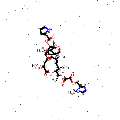 CO[C@H]1C[C@@H](/C=C\C2C3CO[C@H]2[C@H](OC(=O)c2ccc[nH]2)[C@H](C)[C@H]3O)C/C(C)=C/[C@@H](C)[C@@H]([C@@H](C)OC(=O)C(=O)OCc2cncn2C)OC1=O